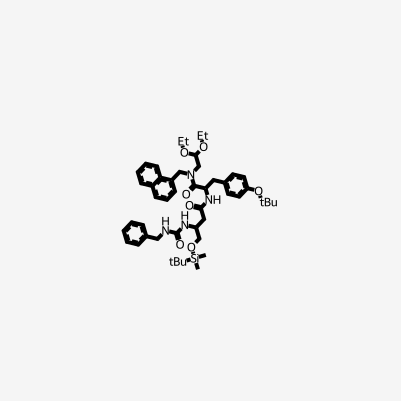 CCOC(CN(Cc1cccc2ccccc12)C(=O)C(Cc1ccc(OC(C)(C)C)cc1)NC(=O)CC(CO[Si](C)(C)C(C)(C)C)NC(=O)NCc1ccccc1)OCC